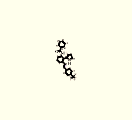 O=C(Nc1cccc(/C=C/c2ccc(C(F)(F)F)cc2)c1C1=CCCN1)c1ccccc1